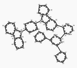 c1ccc(-c2cc(-c3ccccc3)nc(-c3nccnc3-c3ccc4c(c3)c3ccccc3n4-c3ccc(-n4c5ccccc5c5ccccc54)cc3)n2)cc1